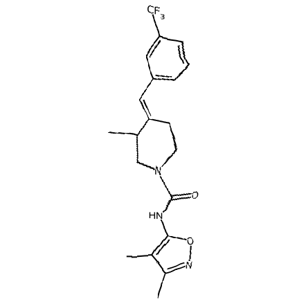 Cc1noc(NC(=O)N2CC/C(=C\c3cccc(C(F)(F)F)c3)C(C)C2)c1C